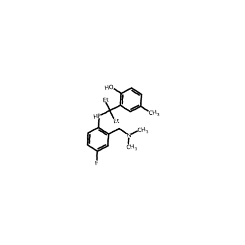 CCC(CC)(Pc1ccc(F)cc1CN(C)C)c1cc(C)ccc1O